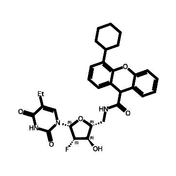 CCc1cn([C@@H]2O[C@H](CNC(=O)C3c4ccccc4Oc4c(C5CCCCC5)cccc43)[C@@H](O)[C@@H]2F)c(=O)[nH]c1=O